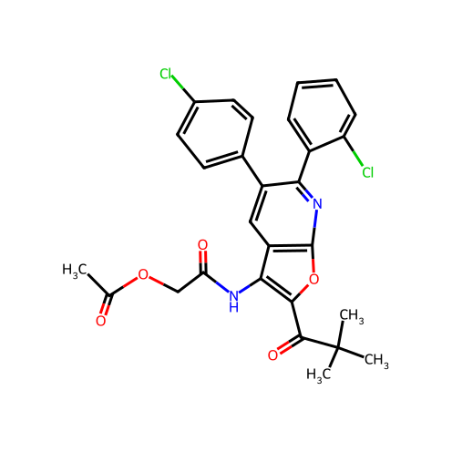 CC(=O)OCC(=O)Nc1c(C(=O)C(C)(C)C)oc2nc(-c3ccccc3Cl)c(-c3ccc(Cl)cc3)cc12